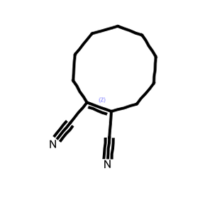 N#C/C1=C(\C#N)CCCCCCCC1